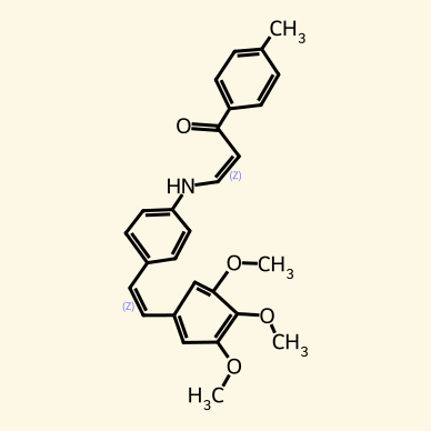 COc1cc(/C=C\c2ccc(N/C=C\C(=O)c3ccc(C)cc3)cc2)cc(OC)c1OC